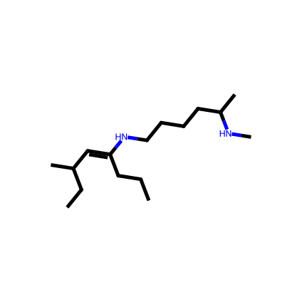 CCC/C(=C\C(C)CC)NCCCCC(C)NC